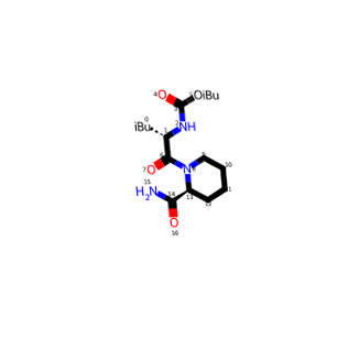 CCC(C)[C@H](NC(=O)OCC(C)C)C(=O)N1CCCC[C@H]1C(N)=O